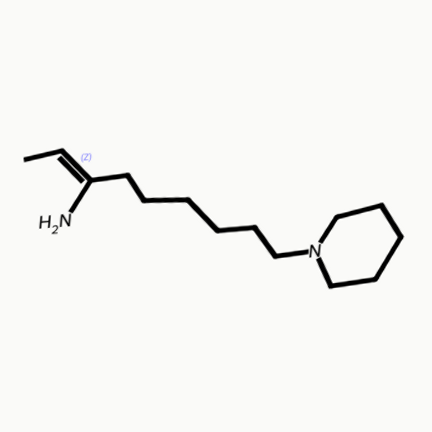 C/C=C(\N)CCCCCCN1CCCCC1